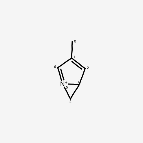 CC1=CC2C[N+]2=C1